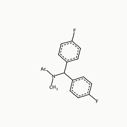 CC(=O)N(C)C(c1ccc(F)cc1)c1ccc(F)cc1